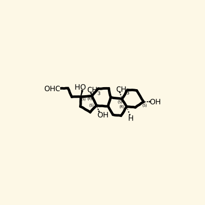 C[C@]12CCC3C(CC[C@@H]4C[C@@H](O)CC[C@]34C)[C@@]1(O)CC[C@]2(O)CCC=O